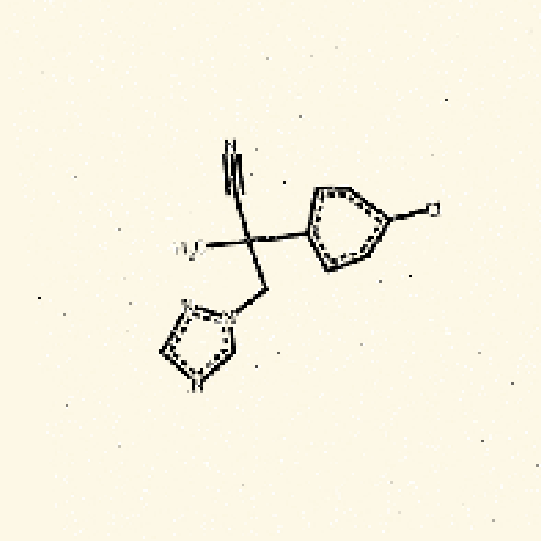 CC(C#N)(Cn1cncn1)c1ccc(Cl)cc1